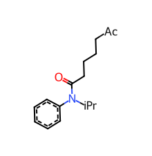 CC(=O)CCCCC(=O)N(c1ccccc1)C(C)C